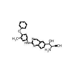 C#CC(N)C(O)c1ccc2nc(Nc3ccc(Oc4ccccc4)c(C)c3)ncc2c1